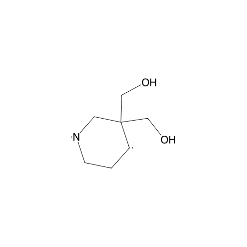 OCC1(CO)[CH]CC[N]C1